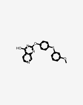 COc1cccc(Sc2ccc(Oc3nc(O)c4ccncc4n3)cc2)c1